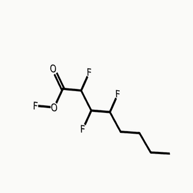 CCCCC(F)C(F)C(F)C(=O)OF